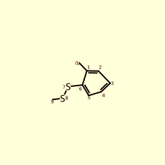 [CH2]c1ccccc1SSC